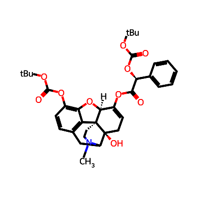 CN1CC[C@]23c4c5ccc(OC(=O)OC(C)(C)C)c4O[C@H]2C(OC(=O)[C@@H](OC(=O)OC(C)(C)C)c2ccccc2)=CC[C@]3(O)C1C5